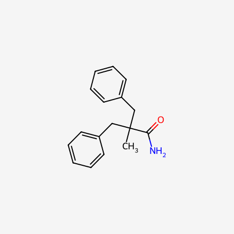 CC(Cc1ccccc1)(Cc1ccccc1)C(N)=O